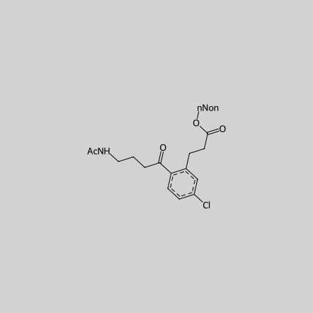 CCCCCCCCCOC(=O)CCc1cc(Cl)ccc1C(=O)CCCNC(C)=O